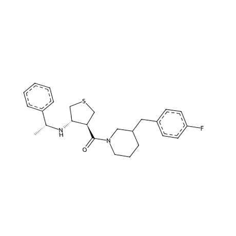 C[C@@H](N[C@@H]1CSC[C@H]1C(=O)N1CCCC(Cc2ccc(F)cc2)C1)c1ccccc1